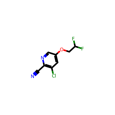 N#Cc1ncc(OCC(F)F)cc1Cl